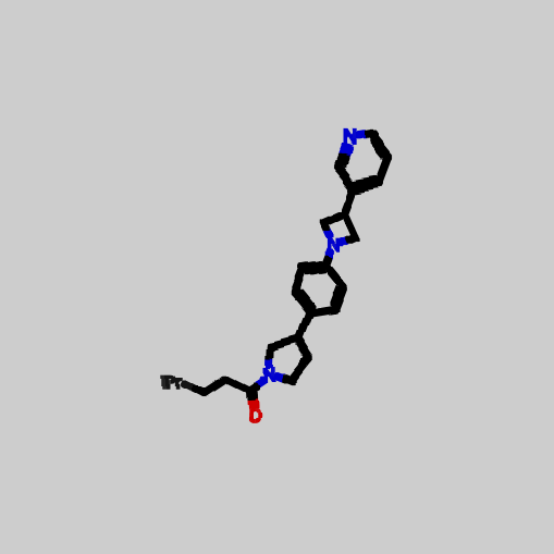 CC(C)CCC(=O)N1CCC(c2ccc(N3CC(c4cccnc4)C3)cc2)C1